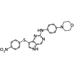 O=[N+]([O-])c1ccc(Sc2c[nH]c3cnc(Nc4ccc(N5CCOCC5)cc4)nc23)cc1